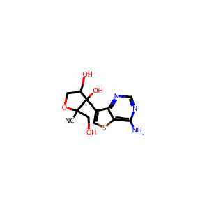 N#CC1(CO)OCC(O)C1(O)c1csc2c(N)ncnc12